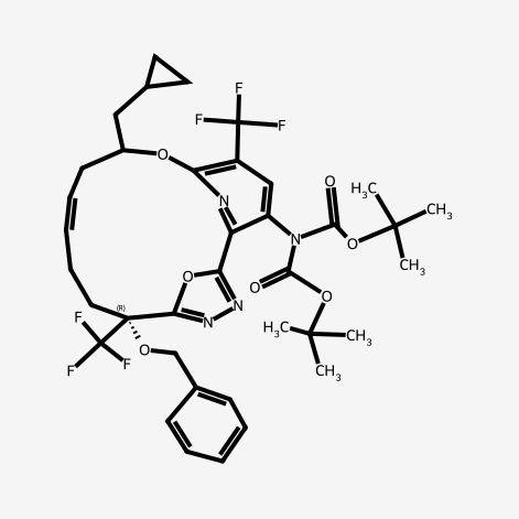 CC(C)(C)OC(=O)N(C(=O)OC(C)(C)C)c1cc(C(F)(F)F)c2nc1-c1nnc(o1)[C@@](OCc1ccccc1)(C(F)(F)F)CCC=CCC(CC1CC1)O2